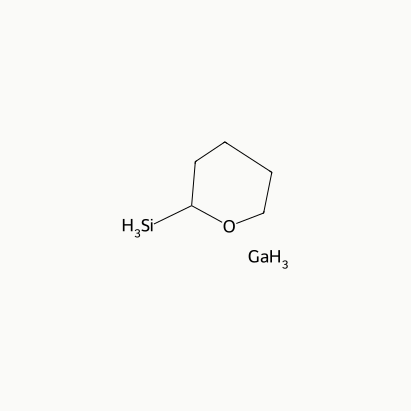 [GaH3].[SiH3]C1CCCCO1